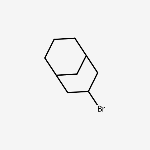 BrC1CC2CCCC(C1)C2